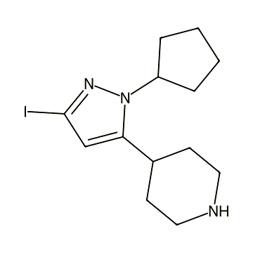 Ic1cc(C2CCNCC2)n(C2CCCC2)n1